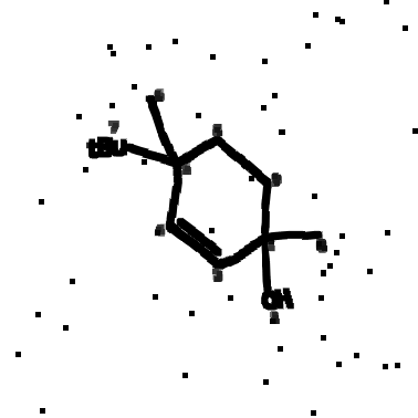 CC1(O)C=CC(C)(C(C)(C)C)CC1